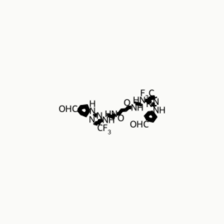 O=Cc1ccc(Nc2ncc(C(F)(F)F)c(NCCNC(=O)CCC(=O)NCCNc3nc(Nc4ccc(C=O)cc4)ncc3C(F)(F)F)n2)cc1